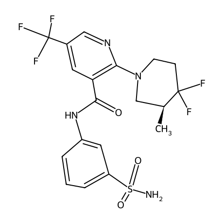 C[C@H]1CN(c2ncc(C(F)(F)F)cc2C(=O)Nc2cccc(S(N)(=O)=O)c2)CCC1(F)F